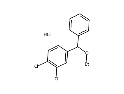 Cl.[CH2]COC(c1ccccc1)c1ccc(Cl)c(Cl)c1